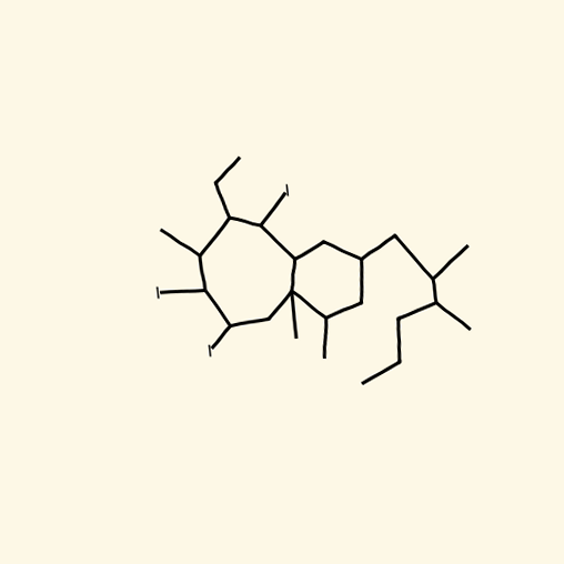 CCCC(C)C(C)CC1CC(C)C2(C)CC(I)C(I)C(C)C(CC)C(I)C2C1